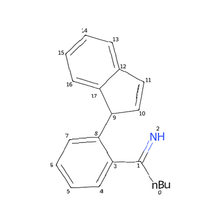 CCCCC(=N)c1ccccc1C1C=Cc2ccccc21